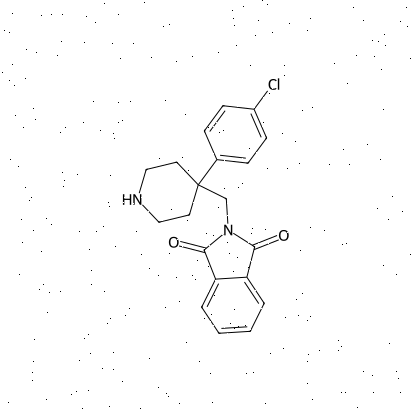 O=C1c2ccccc2C(=O)N1CC1(c2ccc(Cl)cc2)CCNCC1